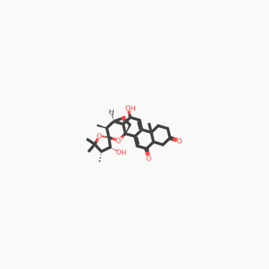 C[C@H]1[C@@H](O)[C@@]2(OC1(C)C)O[C@]13CC[C@H]([C@@H]2C)[C@@]1(C)C(O)C=C1C3=CC(=O)C2CC(=O)CCC12C